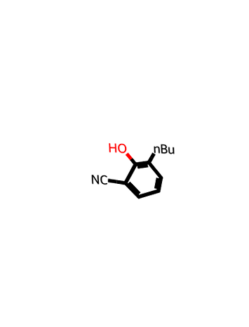 CCCCc1cccc(C#N)c1O